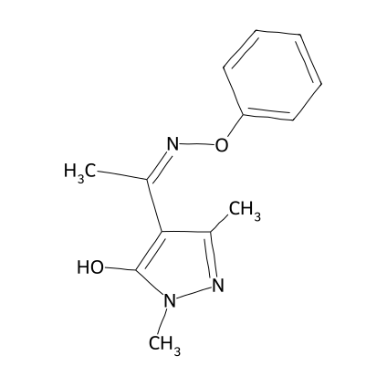 CC(=NOc1ccccc1)c1c(C)nn(C)c1O